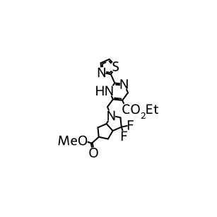 CCOC(=O)C1=C(CN2CC(F)(F)C3CC(C(=O)OC)CC32)NC(c2nccs2)=NC1